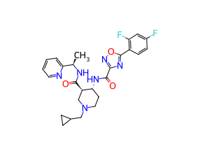 C[C@@H](NC(=O)[C@@H]1CN(CC2CC2)CC[C@H]1NC(=O)c1noc(-c2ccc(F)cc2F)n1)c1ccccn1